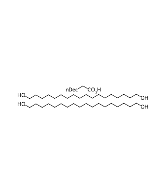 CCCCCCCCCCCC(=O)O.OCCCCCCCCCCCCCCCCCCO.OCCCCCCCCCCCCCCCCCCO